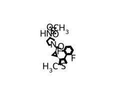 Cc1scc(-c2c(F)cccc2F)c1[C@@H]1C[C@H]1C(=O)N1CC[C@H](NS(C)(=O)=O)C1